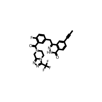 CC#Cc1ccc2c(=O)[nH]nc(Cc3ccc(F)c(C(=O)N4CCn5c(nnc5C(F)(F)F)C4)c3)c2c1